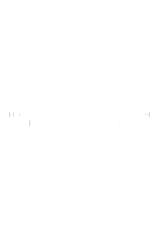 Cc1ccc(CCCCOCCCCc2ccc(C)cc2)cc1